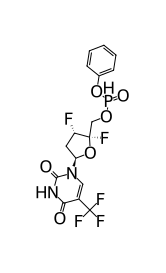 O=c1[nH]c(=O)n([C@H]2C[C@H](F)[C@@](F)(CO[PH](=O)Oc3ccccc3)O2)cc1C(F)(F)F